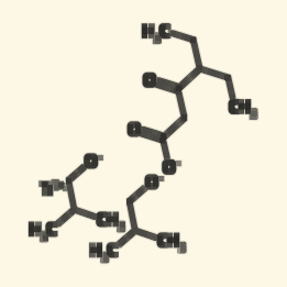 CC(C)C[O-].CC(C)C[O-].CCC(CC)C(=O)CC(=O)[O-].[Ti+3]